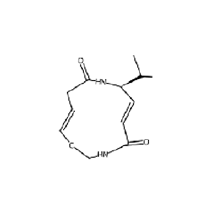 CC(C)[C@H]1/C=C/C(=O)NCC/C=C/CC(=O)N1